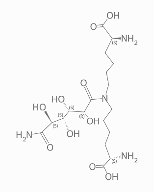 NC(=O)[C@@H](O)[C@@H](O)[C@H](O)[C@@H](O)C(=O)N(CCCC[C@H](N)C(=O)O)CCCC[C@H](N)C(=O)O